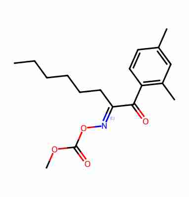 CCCCCC/C(=N\OC(=O)OC)C(=O)c1ccc(C)cc1C